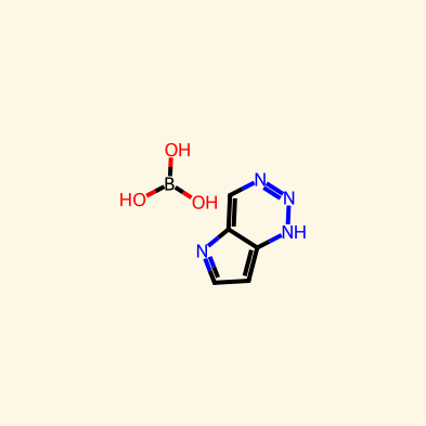 OB(O)O.c1cc2[nH]nncc-2n1